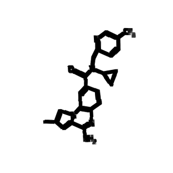 Cc1cc2c(N)nc3ccc(C(=O)N(Cc4ccc(C(F)(F)F)cn4)C4CC4)cc3n2c1